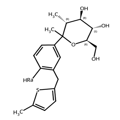 Cc1ccc(Cc2cc(C3(C)O[C@H](CO)[C@@H](O)[C@H](O)[C@H]3C)cc[c]2[RaH])s1